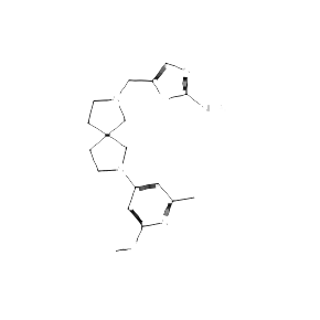 CCOc1cc(N2CCC3(CCN(Cc4cnc(NC(C)=O)s4)C3)C2)cc(C)n1